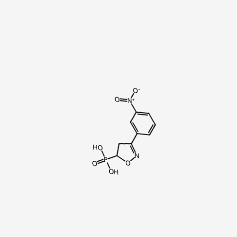 O=[N+]([O-])c1cccc(C2=NOC(P(=O)(O)O)C2)c1